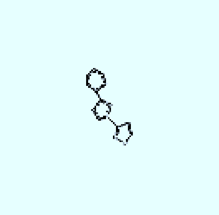 C1=CC(n2ccc(-c3ccccc3)c2)=N[N]1